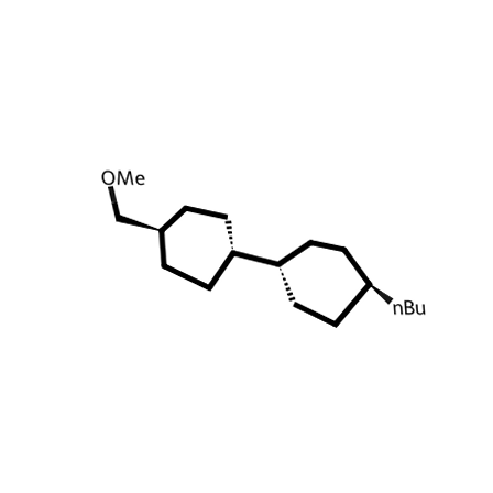 CCCC[C@H]1CC[C@H]([C@H]2CC[C@H](COC)CC2)CC1